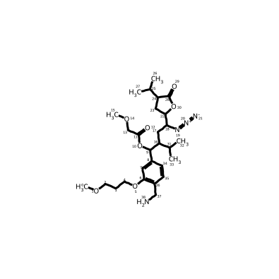 COCCCOc1cc(C(OC(=O)COC)C(CC(N=[N+]=[N-])C2CC(C(C)C)C(=O)O2)C(C)C)ccc1CN